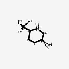 OC1CCC(C(F)(F)F)NC1